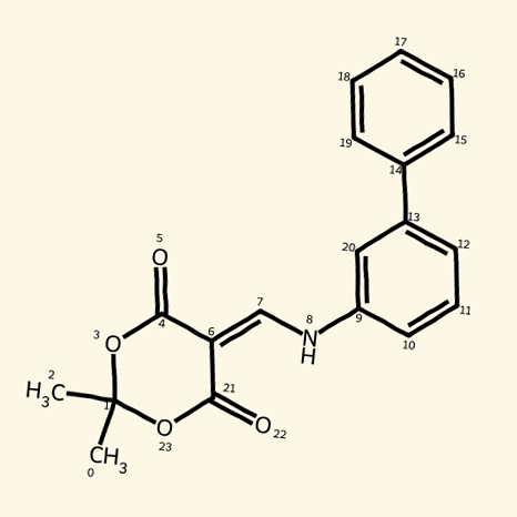 CC1(C)OC(=O)C(=CNc2cccc(-c3ccccc3)c2)C(=O)O1